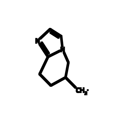 [CH2]C1CCc2nccn2C1